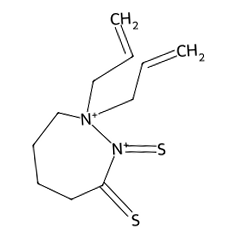 C=CC[N+]1(CC=C)CCCCC(=S)[N+]1=S